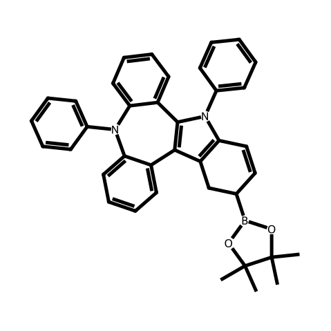 CC1(C)OB(C2C=Cc3c(c4c(n3-c3ccccc3)-c3ccccc3N(c3ccccc3)c3ccccc3-4)C2)OC1(C)C